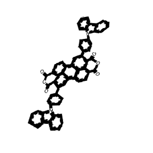 O=C1OC(=O)c2c(-c3ccc(-n4c5ccccc5c5ccccc54)cc3)cc3c4ccc5c6c(c(-c7ccc(-n8c9ccccc9c9ccccc98)cc7)cc(c7ccc1c2c73)c64)C(=O)OC5=O